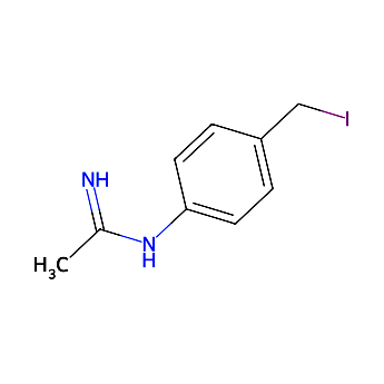 CC(=N)Nc1ccc(CI)cc1